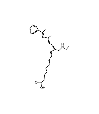 CCNCC(/C=C/N=C/CCCCC(=O)O)=C/C=C(C)/N=C(\C)c1ccccc1